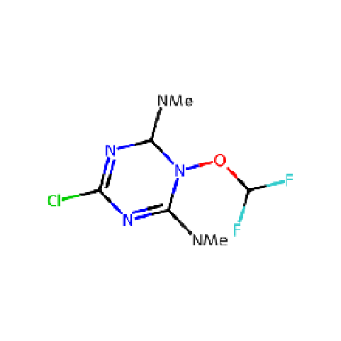 CNC1=NC(Cl)=NC(NC)N1OC(F)F